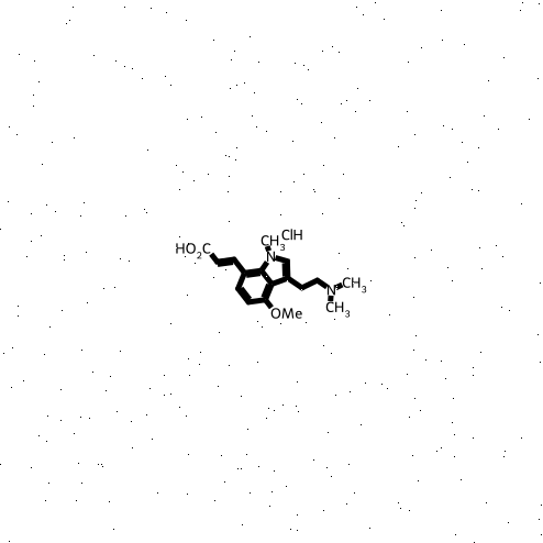 COc1ccc(C=CC(=O)O)c2c1c(CCN(C)C)cn2C.Cl